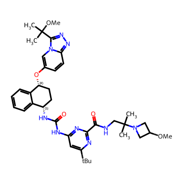 COC1CN(C(C)(C)CNC(=O)c2nc(NC(=O)N[C@H]3CC[C@@H](Oc4ccc5nnc(C(C)(C)OC)n5c4)c4ccccc43)cc(C(C)(C)C)n2)C1